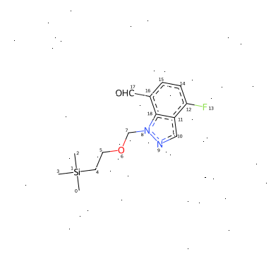 C[Si](C)(C)CCOCn1ncc2c(F)ccc(C=O)c21